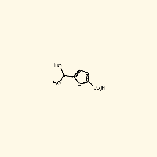 O=C(O)c1ccc(C(O)O)o1